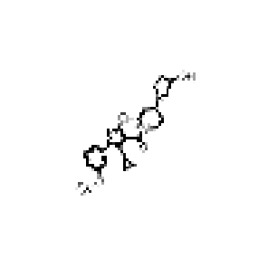 Cc1nn(-c2cccc(OC(F)(F)F)c2)c(C2CC2)c1C(=O)N1CCC(N2CCC(O)C2)CC1